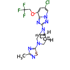 Cc1nsc(N2C[C@@H]3CC[C@]4(C2)[C@H]3N4c2nc3c(OCC(F)(F)F)cc(Cl)cn3n2)n1